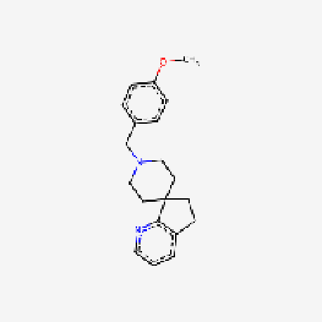 COc1ccc(CN2CCC3(CCc4cccnc43)CC2)cc1